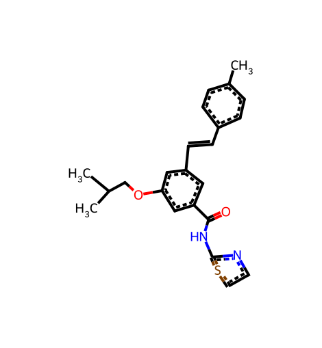 Cc1ccc(/C=C/c2cc(OCC(C)C)cc(C(=O)Nc3nccs3)c2)cc1